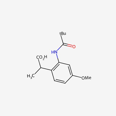 COc1ccc(C(C)C(=O)O)c(NC(=O)C(C)(C)C)c1